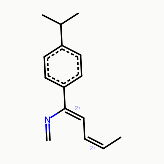 C=N/C(=C\C=C/C)c1ccc(C(C)C)cc1